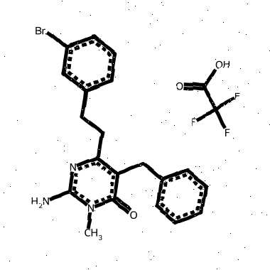 Cn1c(N)nc(CCc2cccc(Br)c2)c(Cc2ccccc2)c1=O.O=C(O)C(F)(F)F